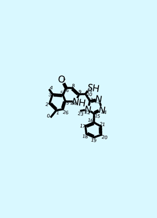 Cc1cc(C)c2c(=O)cc(C(S)c3nnc(-c4ccccc4)n3C)[nH]c2c1